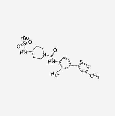 Cc1csc(-c2ccc(NC(=O)N3CCC(NS(=O)(=O)C(C)(C)C)CC3)c(C)c2)c1